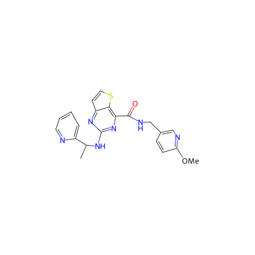 COc1ccc(CNC(=O)c2nc(NC(C)c3ccccn3)nc3ccsc23)cn1